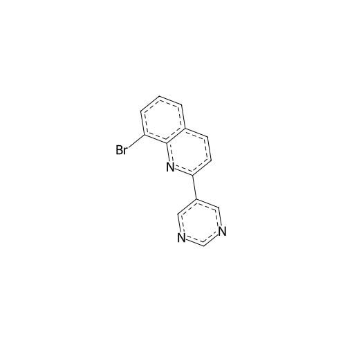 Brc1cccc2ccc(-c3cncnc3)nc12